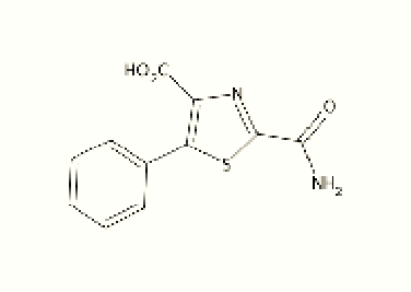 NC(=O)c1nc(C(=O)O)c(-c2ccccc2)s1